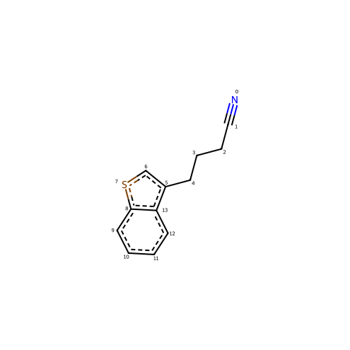 N#CCCCc1csc2ccccc12